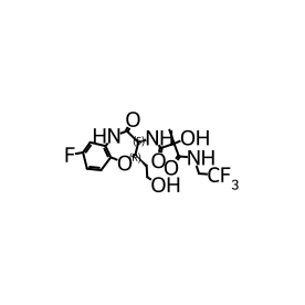 CC(O)(C(=O)NCC(F)(F)F)C(=O)N[C@@H]1C(=O)Nc2cc(F)ccc2O[C@@H]1CCO